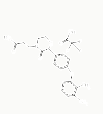 Cc1cccc(Oc2ccc(C3SCCN(CCC(=O)O)C3=O)cc2)c1C.O=C(O)C(F)(F)F